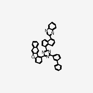 c1ccc(-c2cccc(-c3nc(-c4cccc5c(-c6cnc7ccccc7n6)cccc45)nc(-c4cccc5oc6cc7ccccc7cc6c45)n3)c2)cc1